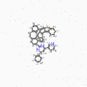 C1=Cc2ccc(-c3nc(-c4ccccc4)cc(-c4cccnc4)n3)cc2C2(c3ccccc31)c1ccccc1-c1c2ccc2sc3ccccc3c12